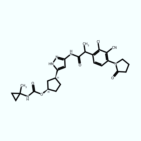 CC(C(=O)Nc1cc([C@H]2CC[C@@H](OC(=O)NC3(C)CC3)C2)[nH]n1)c1ccc(N2CCCC2=O)c(C#N)c1Cl